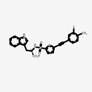 Cc1ccc(C#Cc2ccc(S(=O)(=O)N[C@H](Cc3c[nH]c4ccccc34)C(=O)O)s2)cc1F